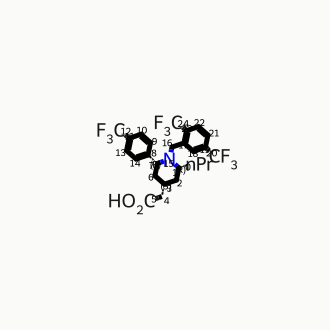 CCC[C@@H]1C[C@H](CC(=O)O)C[C@H](c2ccc(C(F)(F)F)cc2)N1Cc1cc(C(F)(F)F)ccc1C(F)(F)F